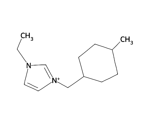 CCn1cc[n+](CC2CCC(C)CC2)c1